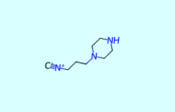 [C-]#[N+]CCCN1CCNCC1